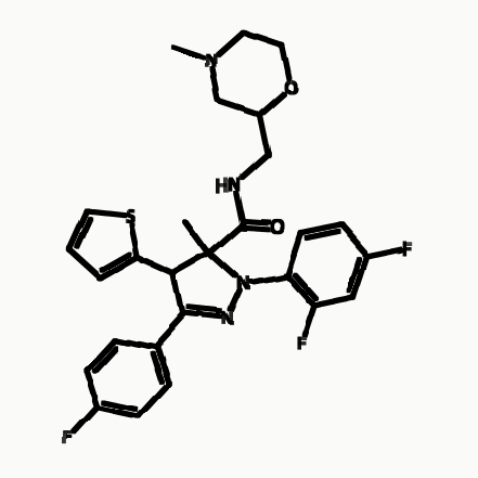 CN1CCOC(CNC(=O)C2(C)C(c3cccs3)C(c3ccc(F)cc3)=NN2c2ccc(F)cc2F)C1